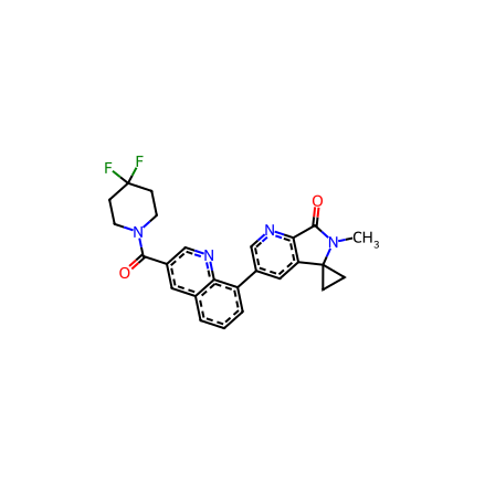 CN1C(=O)c2ncc(-c3cccc4cc(C(=O)N5CCC(F)(F)CC5)cnc34)cc2C12CC2